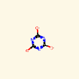 [O]c1nc([O])nc([O])n1